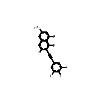 CCCc1cc(F)c2c(F)c(C#Cc3cc(F)c(F)c(F)c3)c(F)cc2c1